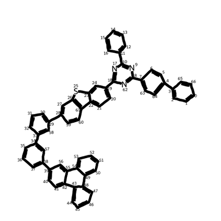 c1ccc(-c2ccc(-c3nc(-c4ccccc4)nc(-c4ccc5c(c4)sc4cc(-c6cccc(-c7cccc(-c8ccc9c%10ccccc%10c%10ccccc%10c9c8)c7)c6)ccc45)n3)cc2)cc1